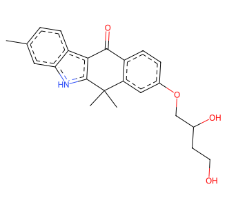 Cc1ccc2c3c([nH]c2c1)C(C)(C)c1cc(OCC(O)CCO)ccc1C3=O